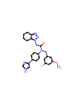 O=C(Cn1nnc2ccccc21)N(Cc1cc(F)cc(OC(F)(F)F)c1)c1ccc(-c2c[nH]cn2)cc1